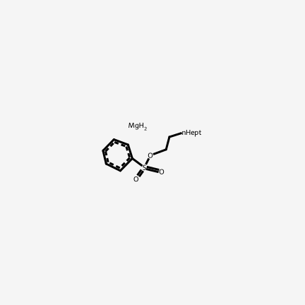 CCCCCCCCCOS(=O)(=O)c1ccccc1.[MgH2]